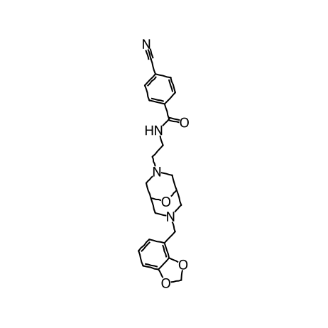 N#Cc1ccc(C(=O)NCCN2CC3CN(Cc4cccc5c4OCO5)CC(C2)O3)cc1